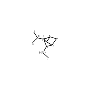 CNC1C2CC(C2)N1C(C)C